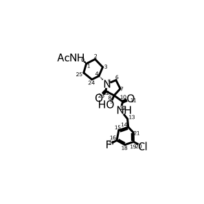 CC(=O)N[C@H]1CC[C@H](N2CCC(O)(C(=O)NCc3cc(F)cc(Cl)c3)C2=O)CC1